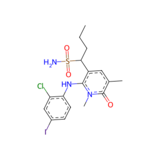 CCCC(c1cc(C)c(=O)n(C)c1Nc1ccc(I)cc1Cl)S(N)(=O)=O